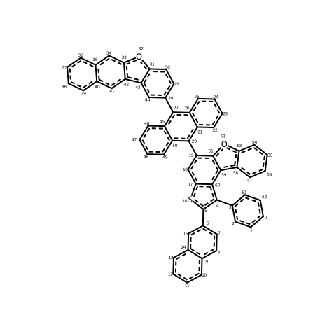 c1ccc(-c2c(-c3ccc4ccccc4c3)sc3cc(-c4c5ccccc5c(-c5ccc6oc7cc8ccccc8cc7c6c5)c5ccccc45)c4oc5ccccc5c4c23)cc1